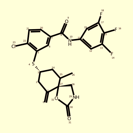 C=C1C[C@H](Sc2cc(C(=O)Nc3cc(F)c(F)c(F)c3)ccc2Cl)CC(C)[C@@]12CNC(=O)O2